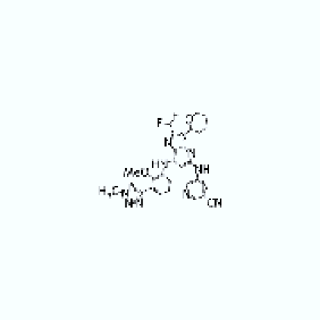 COc1c(Nc2cc(Nc3cncc(C#N)n3)nc3c2nc(C(F)F)n3C2CCCCO2)cccc1-c1nnn(C)n1